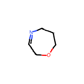 [CH]1CN=CCOC1